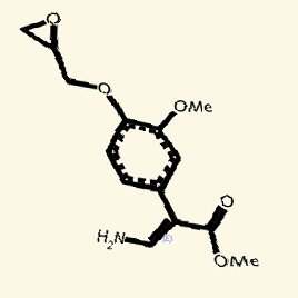 COC(=O)/C(=C/N)c1ccc(OCC2CO2)c(OC)c1